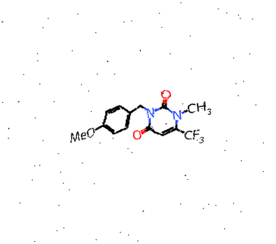 COc1ccc(Cn2c(=O)cc(C(F)(F)F)n(C)c2=O)cc1